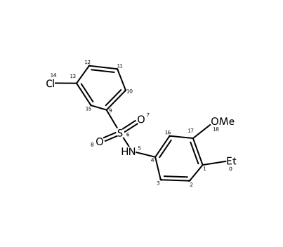 CCc1ccc(NS(=O)(=O)c2cccc(Cl)c2)cc1OC